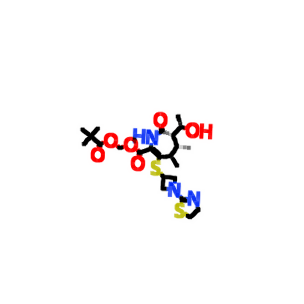 C[C@H]1[C@@H]([C@@H](C)O)C(=O)NC(C(=O)OCOC(=O)C(C)(C)C)=C(SC2CN(C3=NCCS3)C2)[C@@H]1C